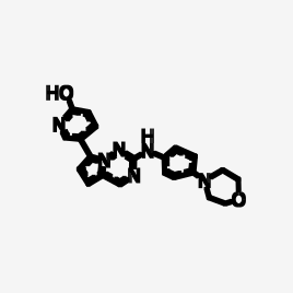 Oc1ccc(-c2ccc3cnc(Nc4ccc(N5CCOCC5)cc4)nn23)cn1